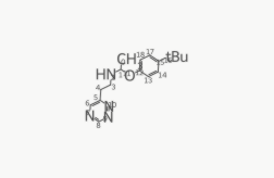 CC(NCCc1cncnn1)Oc1ccc(C(C)(C)C)cc1